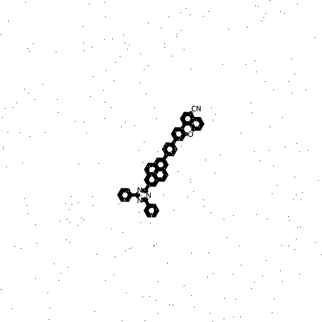 N#Cc1ccc2c3c(cccc13)Oc1cc(-c3ccc(-c4cc5ccc6cc(-c7nc(-c8ccccc8)nc(-c8ccccc8)n7)cc7ccc(c4)c5c67)cc3)ccc1-2